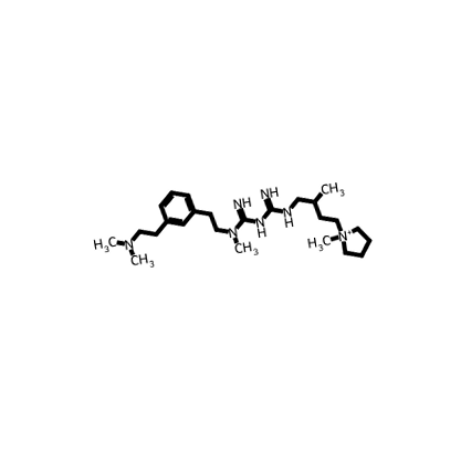 CC(CC[N+]1(C)CCCC1)CNC(=N)NC(=N)N(C)CCc1cccc(CCN(C)C)c1